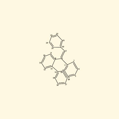 [C](=C(c1ccccc1)c1ccccc1-c1ccccc1)c1ccccc1